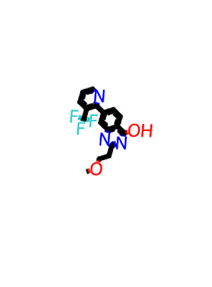 COCCc1nc(O)c2ccc(-c3ncccc3C(F)(F)F)cc2n1